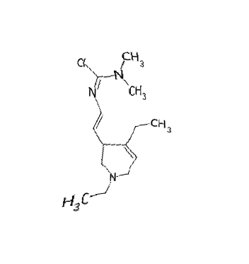 CCC1=CCN(CC)CC1C=C/N=C(/Cl)N(C)C